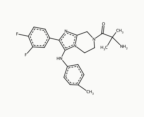 Cc1ccc(Nc2c(-c3ccc(F)c(F)c3)nc3n2CCN(C(=O)C(C)(C)N)C3)cc1